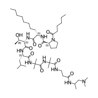 CCCCCCCC[C@H](NC(=O)[C@@H]1CCCN1C(=O)CCCCC)C(=O)N[C@H](C(=O)N[C@@H](CC(C)C)C(=O)NC(C)(C)C(=O)NC(C)(C)C(=O)NCCC(=O)NC(C)CN(C)C)[C@@H](C)O